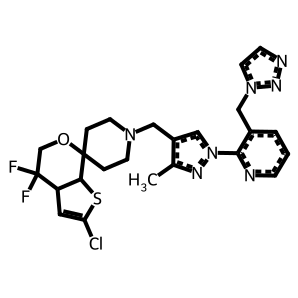 Cc1nn(-c2ncccc2Cn2ccnn2)cc1CN1CCC2(CC1)OCC(F)(F)C1C=C(Cl)SC12